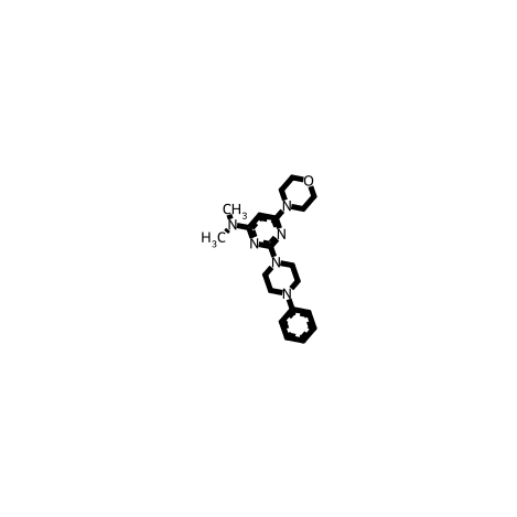 CN(C)c1cc(N2CCOCC2)nc(N2CCN(c3ccccc3)CC2)n1